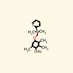 CC(=O)Oc1c(C)cc(OC[Si](C)(C)c2ccccc2)c(C)c1C